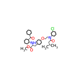 COC(=O)C(Cc1ccc(OCCN(C(=O)CC(C)C)c2cccc(Cl)c2)cc1)Nc1ccccc1C(=O)c1ccccc1